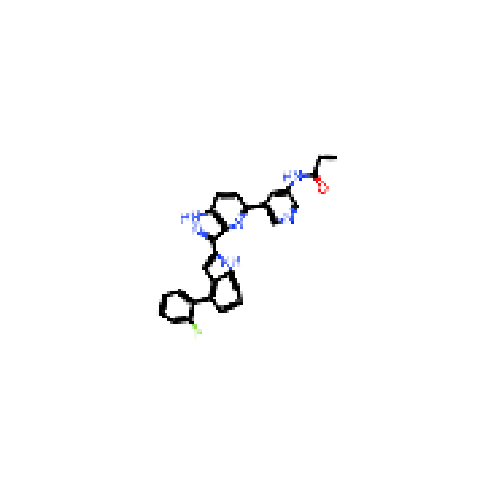 CCC(=O)Nc1cncc(-c2ccc3[nH]nc(-c4cc5c(-c6ccccc6F)cccc5[nH]4)c3n2)c1